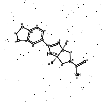 O=C(O)N1C[C@@H]2N=C(c3ccc4c(c3)OCO4)N[C@@H]2C1